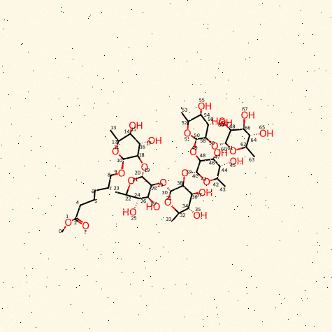 COC(=O)CCCCCO[C@H]1OC(C)[C@@H](O)[C@H](O)C1O[C@H]1OC(C)[C@@H](O)[C@H](O)C1O[C@H]1OC(C)[C@@H](O)[C@H](O)C1O[C@H]1OC(C)[C@@H](O)[C@H](O)C1O[C@H]1OC(C)[C@@H](O)[C@H](O)C1O[C@H]1OC(C)[C@@H](O)[C@H](O)C1O